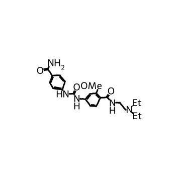 CCN(CC)CCNC(=O)c1ccc(NC(=O)Nc2ccc(C(N)=O)cc2)cc1OC